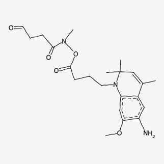 COc1cc2c(cc1N)C(C)=CC(C)(C)N2CCCC(=O)ON(C)C(=O)CCC=O